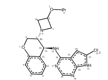 CC(C)OC1CN([C@H]2COc3ccccc3[C@@H]2Nc2ncnc3[nH]c(C(F)(F)F)cc23)C1